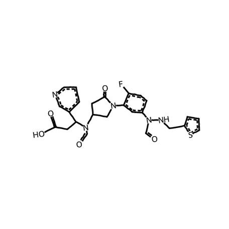 O=CN(NCc1cccs1)c1ccc(F)c(N2CC(N(C=O)C(CC(=O)O)c3cccnc3)CC2=O)c1